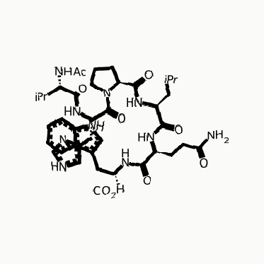 CC(=O)N[C@H](C(=O)N[C@@H](Cc1c[nH]cn1)C(=O)N1CCC[C@H]1C(=O)N[C@@H](CC(C)C)C(=O)N[C@@H](CCC(N)=O)C(=O)N[C@@H](Cc1c[nH]c2ccccc12)C(=O)O)C(C)C